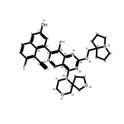 C#Cc1c(F)ccc2cc(O)cc(-c3ncc4c(N5CCOCC56CCOC6)nc(OCC56CCCN5CCC6)nc4c3F)c12